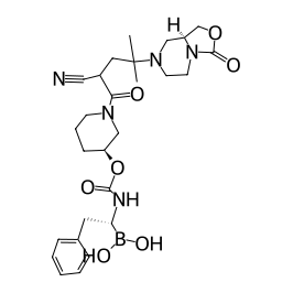 CC(C)(CC(C#N)C(=O)N1CCC[C@H](OC(=O)N[C@@H](Cc2ccccc2)B(O)O)C1)N1CCN2C(=O)OC[C@@H]2C1